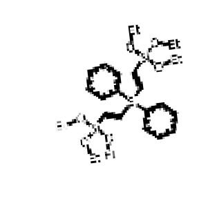 CCO[Si](C=C[Si](C=C[Si](OCC)(OCC)OCC)(c1ccccc1)c1ccccc1)(OCC)OCC